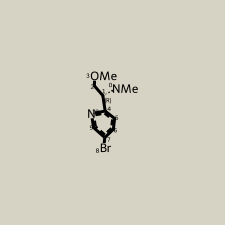 CN[C@@H](COC)c1ccc(Br)cn1